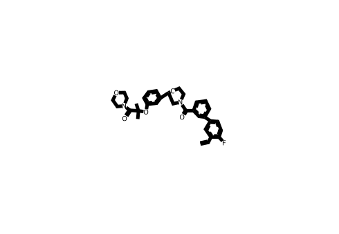 C=Cc1cc(-c2cccc(C(=O)N3CCCC(c4cccc(OC(C)(C)C(=O)N5CCOCC5)c4)C3)c2)ccc1F